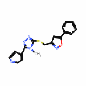 Cn1c(SCc2cc(-c3ccccc3)on2)nnc1-c1ccncc1